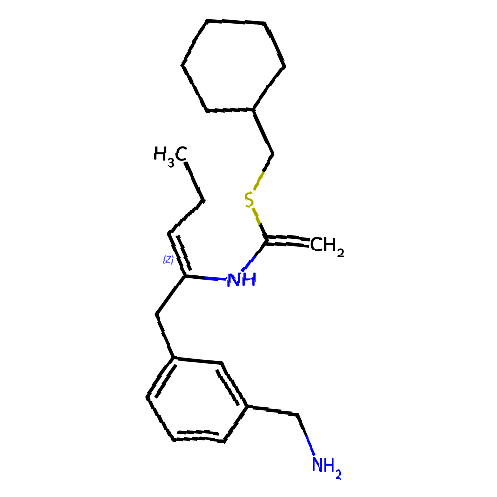 C=C(N/C(=C\CC)Cc1cccc(CN)c1)SCC1CCCCC1